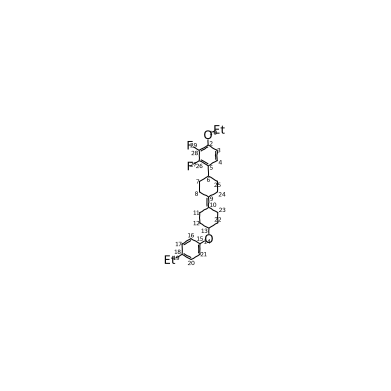 CCOc1ccc(C2CCC(=C3CCC(Oc4ccc(CC)cc4)CC3)CC2)c(F)c1F